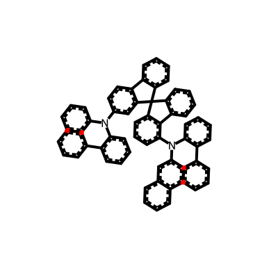 c1ccc(-c2ccccc2N(c2ccccc2)c2ccc3c(c2)C2(c4ccccc4-3)c3ccccc3-c3c(N(c4ccc5ccccc5c4)c4ccccc4-c4ccccc4)cccc32)cc1